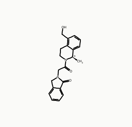 C[C@@H]1c2cccc(CO)c2CCN1C(=O)CN1Cc2ccccc2C1=O